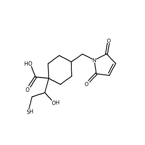 O=C1C=CC(=O)N1CC1CCC(C(=O)O)(C(O)CS)CC1